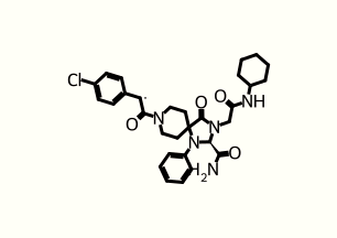 NC(=O)[C@@H]1N(CC(=O)NC2CCCCC2)C(=O)C2(CCN(C(=O)[CH]c3ccc(Cl)cc3)CC2)N1c1ccccc1